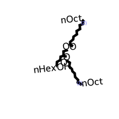 CCCCCCCC/C=C\CCCCCCCC(=O)OCCC(CCCC(O)CCCCCC)OC(=O)CCCCCCC/C=C\CCCCCCCC